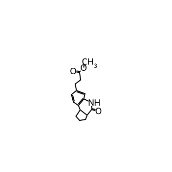 COC(=O)CCc1ccc2c(c1)NC(=O)C1CCCC21